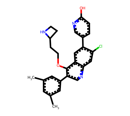 Cc1cc(C)cc(-c2cnc3cc(Cl)c(-c4ccc(O)nc4)cc3c2OCCC2CCN2)c1